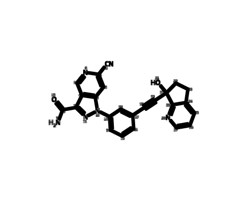 N#Cc1cc2c(cn1)c(C(N)=O)nn2-c1cccc(C#CC2(O)CCc3cccnc32)c1